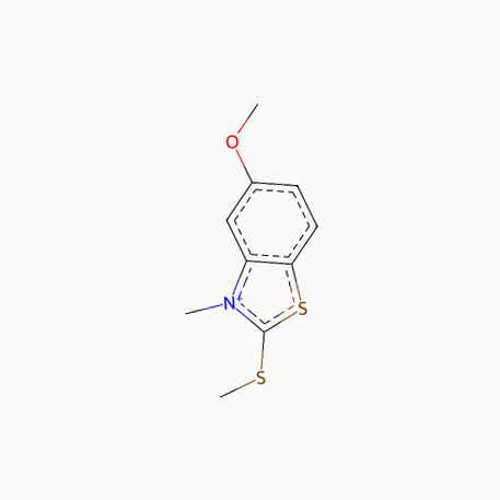 COc1ccc2sc(SC)[n+](C)c2c1